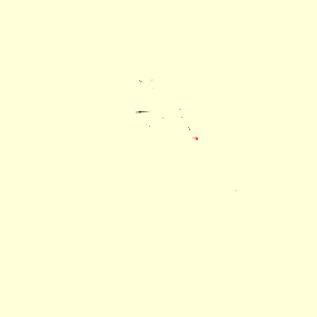 COCOc1cc(C(F)(F)F)ccc1O[C@H]1[C@@H]2CCC[C@H]1CN(Cc1ccccc1)C2